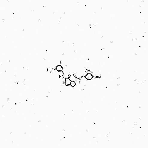 Cc1cc(F)cc(CNc2ncc3n(c2=O)[C@H](C(=O)NCc2ccc(C#N)cc2C)CC3)c1